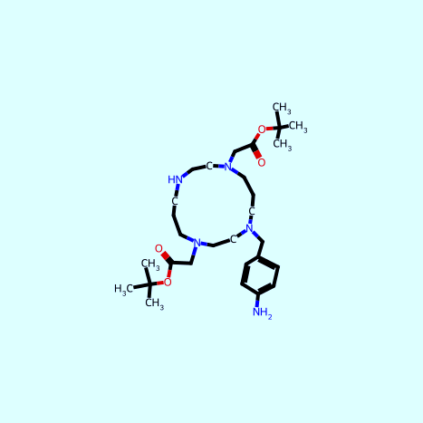 CC(C)(C)OC(=O)CN1CCCN(Cc2ccc(N)cc2)CCN(CC(=O)OC(C)(C)C)CCCNCC1